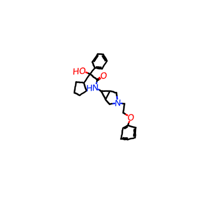 O=C(NC1C2CN(CCOc3ccccc3)CC21)C(O)(c1ccccc1)C1CCCC1